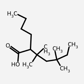 CCCCC(C(=O)O)C(C)(C)CC(C)(C)CC